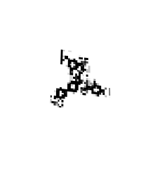 O=C(Nc1c(C(=O)O)n(Cc2cc(C(F)(F)F)cc(C(F)(F)F)c2)c2cc(-c3ccc4c(c3)OCO4)ccc12)c1ccc(Cl)cc1